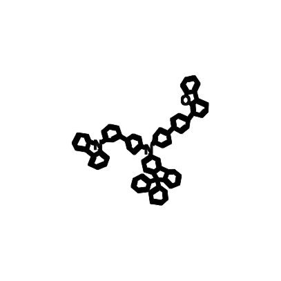 c1ccc(C2(c3ccccc3)c3ccccc3-c3cc(N(c4ccc(-c5ccc(-c6cccc7c6oc6ccccc67)cc5)cc4)c4ccc(-c5cccc(-n6c7ccccc7c7ccccc76)c5)cc4)ccc32)cc1